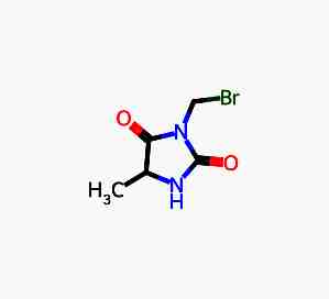 CC1NC(=O)N(CBr)C1=O